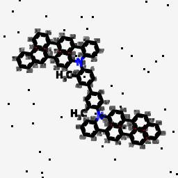 Cc1cc(-c2ccc(N(c3ccc(-c4ccc5ccccc5c4)cc3)c3ccccc3-c3ccc(-c4ccccc4)cc3)c(C)c2)ccc1N(c1ccc(-c2ccc3ccccc3c2)cc1)c1ccccc1-c1ccc(-c2ccccc2)cc1